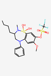 CCCCC1CN(c2ccccc2)c2cc(OC)c(OS(=O)(=O)C(F)(F)F)cc2S(O)(O)N1C